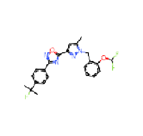 Cc1cc(-c2nc(-c3ccc(C(C)(C)F)cc3)no2)nn1Cc1ccccc1OC(F)F